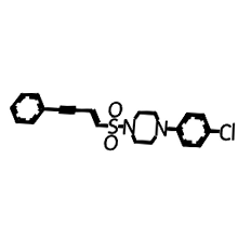 O=S(=O)(/C=C/C#Cc1ccccc1)N1CCN(c2ccc(Cl)cc2)CC1